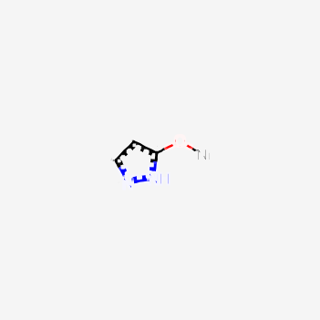 [Ni][O]c1ccn[nH]1